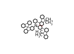 CC1(C)c2ccccc2-c2c(-c3ccccc3N(c3ccc(-c4cccc5c4C(C)(C)c4ccccc4-5)cc3)c3ccc4c(c3)C3(c5ccccc5-c5ccccc53)c3ccccc3-4)cccc21